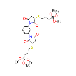 CCO[Si](CCCSC1CC(=O)N(c2cccc(N3C(=O)CC(SCCC[Si](OCC)(OCC)OCC)C3=O)c2)C1=O)(OCC)OCC